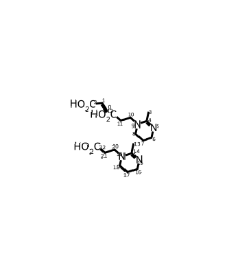 C=CC(=O)O.CC1=NCCCN1CCC(=O)O.CC1=NCCCN1CCC(=O)O